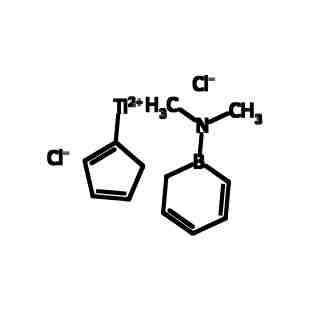 CN(C)B1C=CC=CC1.[Cl-].[Cl-].[Ti+2][C]1=CC=CC1